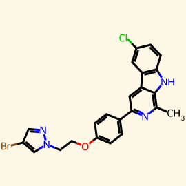 Cc1nc(-c2ccc(OCCn3cc(Br)cn3)cc2)cc2c1[nH]c1ccc(Cl)cc12